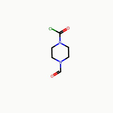 O=CN1CCN(C(=O)Cl)CC1